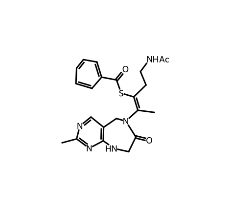 CC(=O)NCC/C(SC(=O)c1ccccc1)=C(\C)N1Cc2cnc(C)nc2NCC1=O